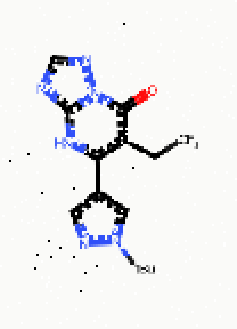 CC(C)(C)n1cc(-c2[nH]c3ncnn3c(=O)c2CC(F)(F)F)cn1